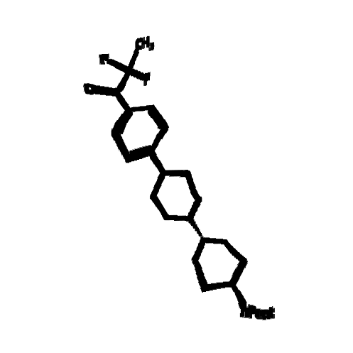 CCCCC[C@H]1CC[C@H](C2CCC(c3ccc(C(=O)C(C)(F)F)cc3)CC2)CC1